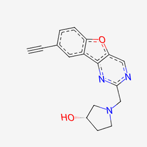 C#Cc1ccc2oc3cnc(CN4CC[C@H](O)C4)nc3c2c1